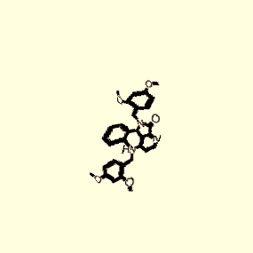 COc1ccc(CNc2ccnc3c2C(c2ccccc2C)N(Cc2ccc(OC)cc2OC)C3=O)c(OC)c1